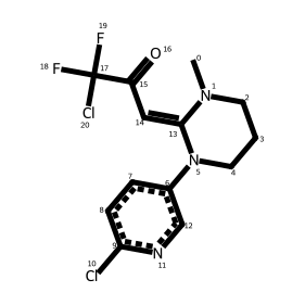 CN1CCCN(c2ccc(Cl)nc2)C1=CC(=O)C(F)(F)Cl